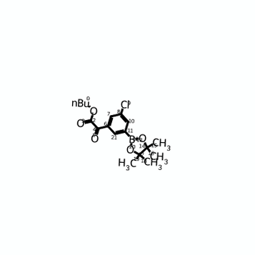 CCCCOC(=O)C(=O)c1cc(Cl)cc(B2OC(C)(C)C(C)(C)O2)c1